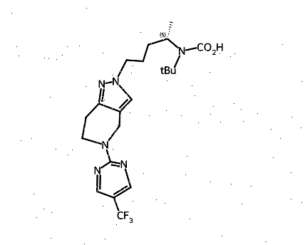 C[C@@H](CCCn1cc2c(n1)CCN(c1ncc(C(F)(F)F)cn1)C2)N(C(=O)O)C(C)(C)C